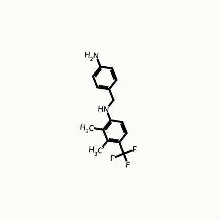 Cc1c(NCc2ccc(N)cc2)ccc(C(F)(F)F)c1C